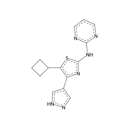 c1cnc(Nc2nc(-c3cn[nH]c3)c(C3CCC3)s2)nc1